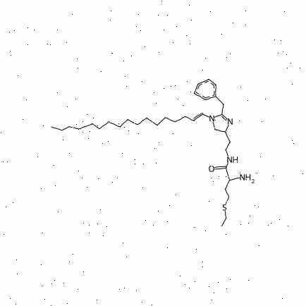 CCCCCCCCCCCCCCCC=CN1CC(CCNC(=O)C(N)CCSCC)N=C1Cc1ccccc1